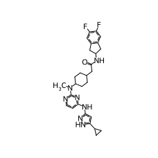 CN(c1nccc(Nc2cc(C3CC3)[nH]n2)n1)C1CCC(CC(=O)NC2Cc3cc(F)c(F)cc3C2)CC1